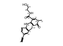 C#Cc1ccc(Nc2cc(=O)n(C)cc2C(=O)NCCO)c(F)c1